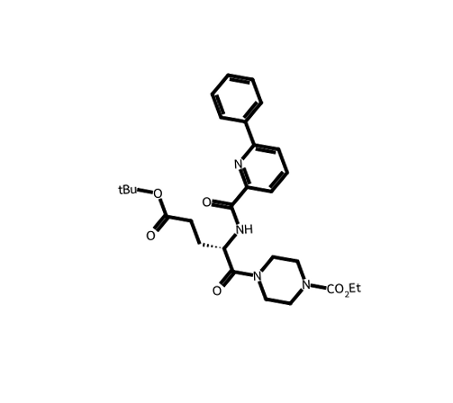 CCOC(=O)N1CCN(C(=O)[C@H](CCC(=O)OC(C)(C)C)NC(=O)c2cccc(-c3ccccc3)n2)CC1